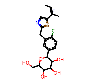 C/C=C(/C)c1cnc(Cc2cc(C3OC(CO)C(O)C(O)C3O)ccc2Cl)s1